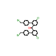 O=C(c1ccc(Cl)cc1-c1ccc(CBr)cc1)c1ccc(Cl)cc1-c1ccc(CBr)cc1